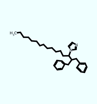 CCCCCCCCCCCCCC(C(Cc1ccccc1)Cc1ccccc1)n1ccnc1